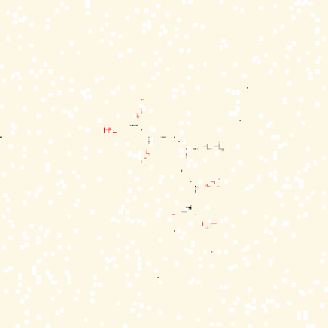 CC(CC(=O)C(=O)O)CC(=O)C(=O)O